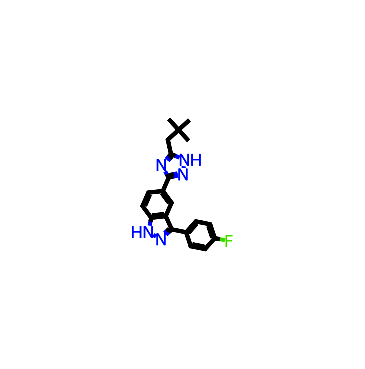 CC(C)(C)Cc1nc(-c2ccc3[nH]nc(-c4ccc(F)cc4)c3c2)n[nH]1